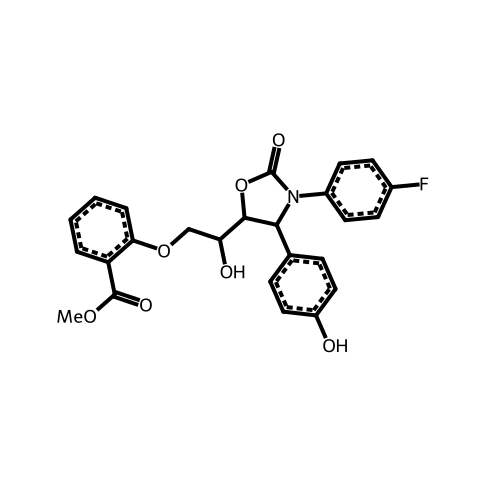 COC(=O)c1ccccc1OCC(O)C1OC(=O)N(c2ccc(F)cc2)C1c1ccc(O)cc1